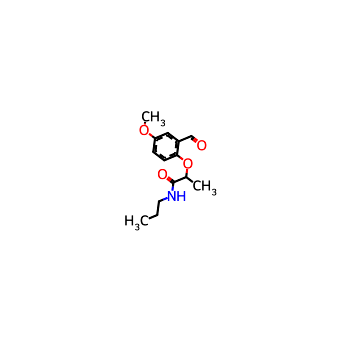 CCCNC(=O)C(C)Oc1ccc(OC)cc1C=O